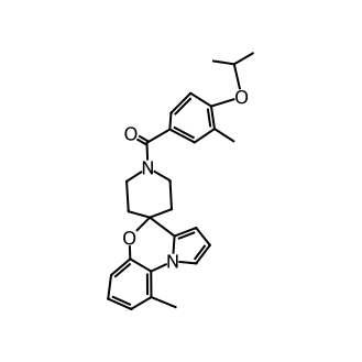 Cc1cc(C(=O)N2CCC3(CC2)Oc2cccc(C)c2-n2cccc23)ccc1OC(C)C